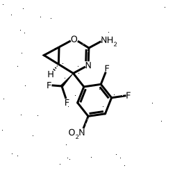 NC1=N[C@@](c2cc([N+](=O)[O-])cc(F)c2F)(C(F)F)[C@H]2CC2O1